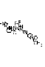 CCC(=O)N1CCC(N2CC(n3cc(NC(=O)c4cccc(-c5cc[nH]n5)n4)c(C(F)F)n3)C2)CC1